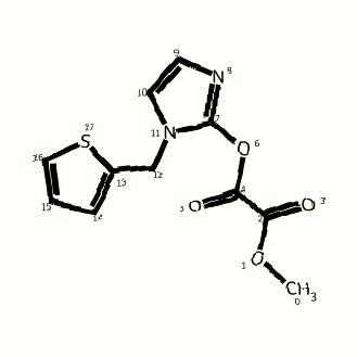 COC(=O)C(=O)Oc1nccn1Cc1cccs1